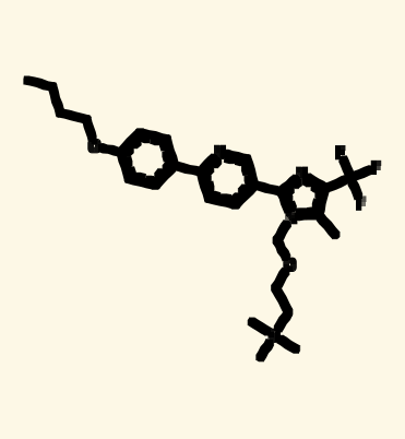 CCCCOc1ccc(-c2ccc(-c3nc(C(F)(F)F)c(C)n3COCC[Si](C)(C)C)cn2)cc1